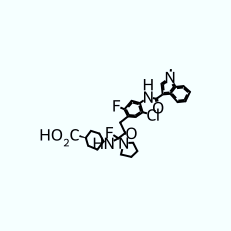 Cn1cc(C(=O)Nc2cc(F)c(CC(=O)C(F)(N[C@H]3CC[C@H](C(=O)O)CC3)N3CCCC3)cc2Cl)c2ccccc21